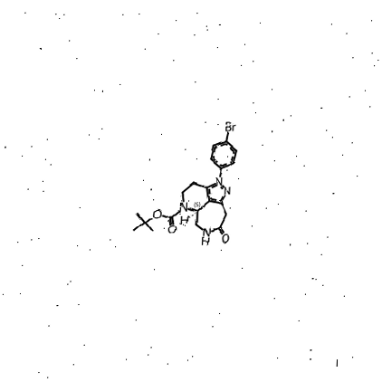 CC(C)(C)OC(=O)N1CCc2c3c(nn2-c2ccc(Br)cc2)CC(=O)NC[C@H]31